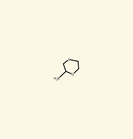 BC1CSCCO1